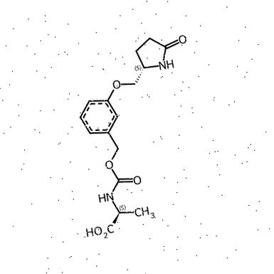 C[C@H](NC(=O)OCc1cccc(OC[C@@H]2CCC(=O)N2)c1)C(=O)O